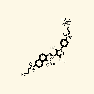 Cc1nn(-c2ccc(S(=O)(=O)CCOS(=O)(=O)O)cc2)c(O)c1N=Nc1ccc2cc(S(=O)(=O)CCO)ccc2c1S(=O)(=O)O